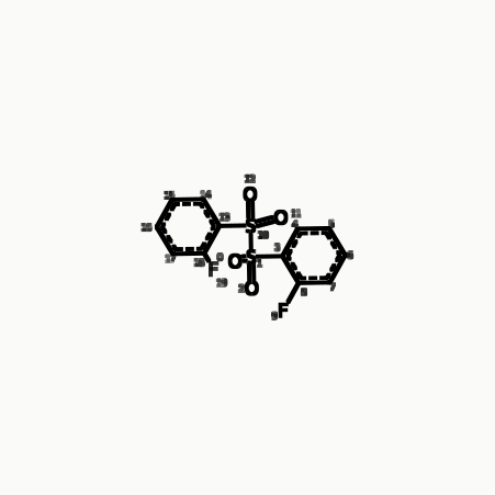 O=S(=O)(c1ccccc1F)S(=O)(=O)c1ccccc1F